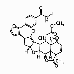 COC(=O)C[C@H]1[C@]2(C)C3=C(C)[C@H](c4ccoc4-c4ccc(C(=O)NI)cc4)C[C@H]3O[C@@H]2[C@@H]2OC(=O)[C@]3(C)C=CC(=O)[C@@]1(C)[C@@H]23